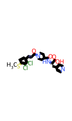 CSc1ccc(/C=C/C(=O)N2CCC(C(=O)N[C@@H](Cc3ccncc3)C(=O)O)CC2)c(Cl)c1Cl